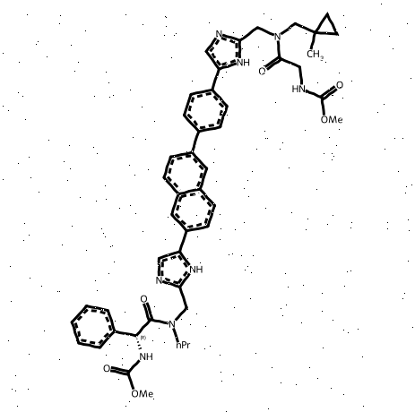 CCCN(Cc1ncc(-c2ccc3cc(-c4ccc(-c5cnc(CN(CC6(C)CC6)C(=O)CNC(=O)OC)[nH]5)cc4)ccc3c2)[nH]1)C(=O)[C@H](NC(=O)OC)c1ccccc1